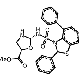 COC(=O)[C@H]1CN[C@H](NS(=O)(=O)N2c3c(cccc3-c3ccccc3)SC2c2ccccc2)O1